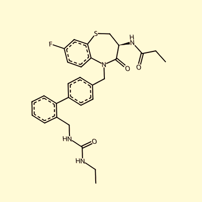 CCNC(=O)NCc1ccccc1-c1ccc(CN2C(=O)[C@H](NC(=O)CC)CSc3cc(F)ccc32)cc1